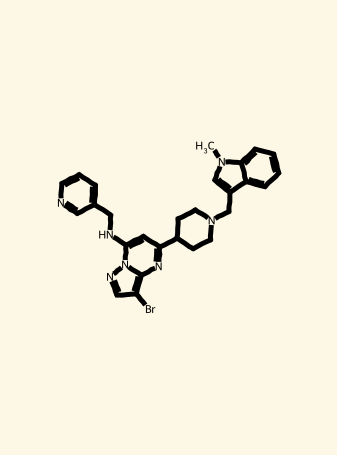 Cn1cc(CN2CCC(c3cc(NCc4cccnc4)n4ncc(Br)c4n3)CC2)c2ccccc21